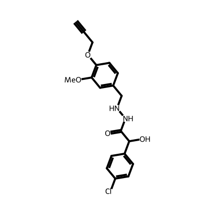 C#CCOc1ccc(CNNC(=O)C(O)c2ccc(Cl)cc2)cc1OC